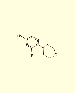 Fc1cc(S)ccc1C1CCOCC1